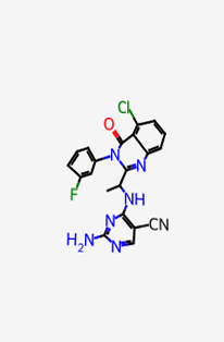 CC(Nc1nc(N)ncc1C#N)c1nc2cccc(Cl)c2c(=O)n1-c1cccc(F)c1